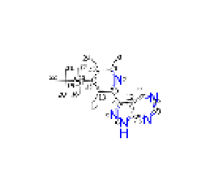 Cc1nc(-c2n[nH]c3ncncc23)c(C)c([Si](C)(C)C(C)(C)C)c1C